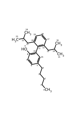 CCCCCc1ccc(O)c(-c2c(CC(C)C)cccc2CC(C)C)c1